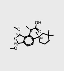 CO[C@@H]1O[C@H](OC)c2c1ccc([C@@]1(C)CCCC(C)(C)C1)c2[C@@H](C)C(=O)O